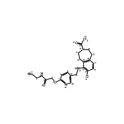 CC(C)(C)CNC(=O)COc1ccc(CNc2c(Cl)ccc3c2CCN(C(=O)C(F)(F)F)CC3)cn1